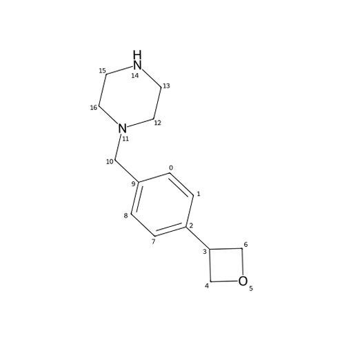 c1cc(C2COC2)ccc1CN1CCNCC1